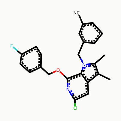 Cc1c(C)n(Cc2cccc(C#N)c2)c2c(OCc3ccc(F)cc3)nc(Cl)cc12